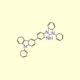 C1=CCCC(N2C3=C(CCC=C3)C3C=C(C4=CC5NC6N(C7C=CC=CC7)C7C=CC=CC7N6C5C=C4)C=CC32)=C1